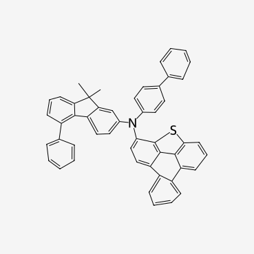 CC1(C)c2cc(N(c3ccc(-c4ccccc4)cc3)c3ccc4c5ccccc5c5cccc6sc3c4c65)ccc2-c2c(-c3ccccc3)cccc21